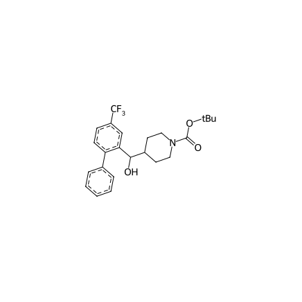 CC(C)(C)OC(=O)N1CCC(C(O)c2cc(C(F)(F)F)ccc2-c2ccccc2)CC1